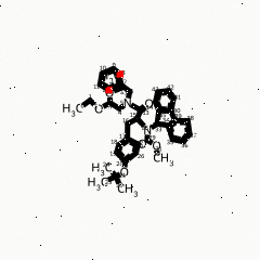 CCOC(CN(Cc1ccccc1)C(=O)C(Cc1ccc(OC(C)(C)C)cc1)N(C(=O)OC)C1c2ccccc2-c2ccccc21)OCC